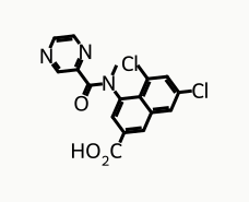 CN(C(=O)c1cnccn1)c1cc(C(=O)O)cc2cc(Cl)cc(Cl)c12